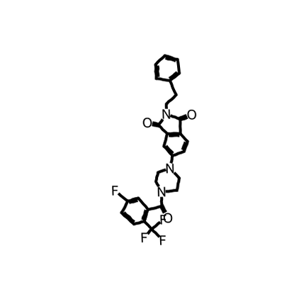 O=C(c1cc(F)ccc1C(F)(F)F)N1CCN(c2ccc3c(c2)C(=O)N(CCc2ccccc2)C3=O)CC1